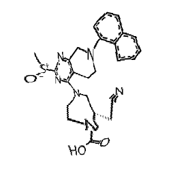 C[S+]([O-])c1nc2c(c(N3CCN(C(=O)O)[C@@H](CC#N)C3)n1)CCN(c1cccc3ccccc13)C2